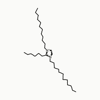 CCCCCCCCCCCCn1cc[n+](CCCCCCCCCCCC)c1CCCCCC